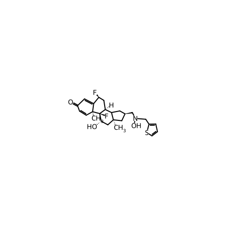 C[C@@]12C[C@H](CN(O)Cc3cccs3)CC1[C@@H]1C[C@H](F)C3=CC(=O)C=C[C@]3(C)[C@@]1(F)[C@@H](O)C2